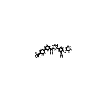 N#Cc1cc(-c2ncnc(Nc3cccc(C4CCC(C5COC5)CC4)c3)n2)ccc1OC1CCOCC1